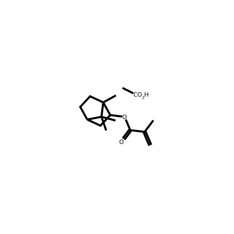 C=C(C)C(=O)OC1CC2CCC1(C)C2(C)C.CC(=O)O